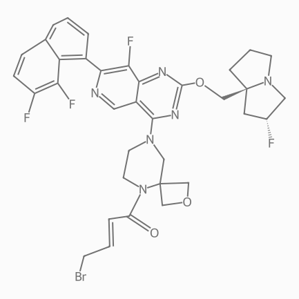 O=C(/C=C/CBr)N1CCN(c2nc(OC[C@@]34CCCN3C[C@H](F)C4)nc3c(F)c(-c4cccc5ccc(F)c(F)c45)ncc23)CC12COC2